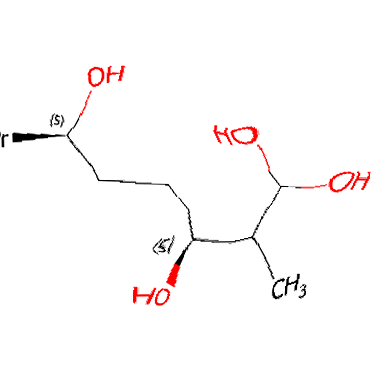 CC(C)[C@@H](O)CC[C@H](O)C(C)C(O)O